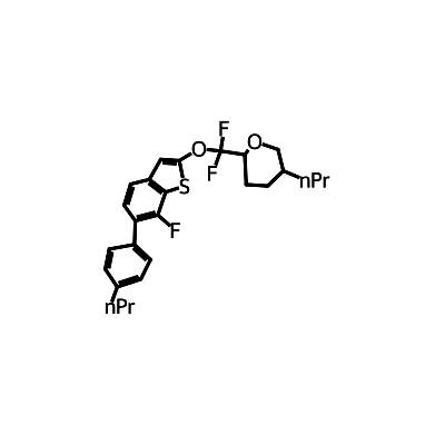 CCCc1ccc(-c2ccc3cc(OC(F)(F)C4CCC(CCC)CO4)sc3c2F)cc1